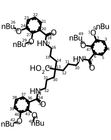 CCCCOc1cccc(C(=O)NCCCC(CCCNC(=O)c2cccc(OCCCC)c2OCCCC)(CCCNC(=O)c2cccc(OCCCC)c2OCCCC)C(=O)O)c1OCCCC